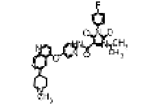 CC(C)n1cc(C(=O)Nc2ccc(Oc3ccnc4cnc(C5CCN(C)CC5)cc34)cn2)c(=O)n(-c2ccc(F)cc2)c1=O